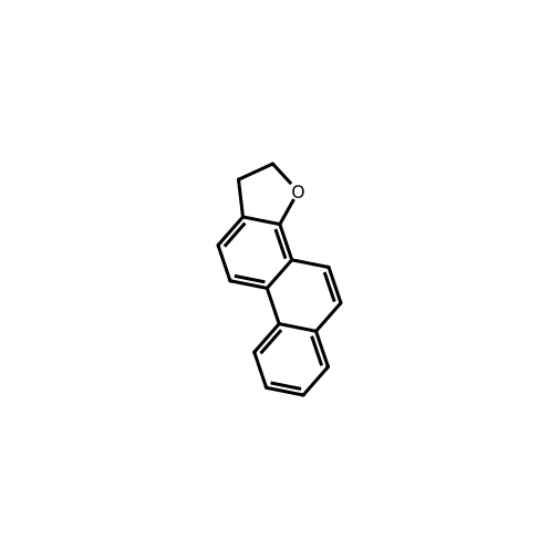 c1ccc2c(c1)ccc1c3c(ccc12)CCO3